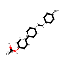 CCC[C@H]1CC[C@H](CC[C@H]2CC[C@H]([C@H]3CC[C@H](OC(=O)CC)CC3)CC2)CC1